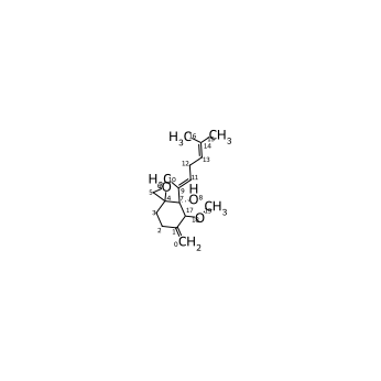 C=C1CCC2(CO2)[C@@](O)(/C(C)=C/CC=C(C)C)C1OC